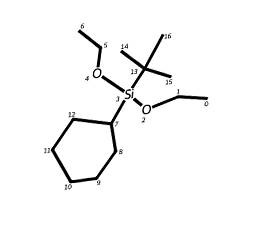 CCO[Si](OCC)(C1CCCCC1)C(C)(C)C